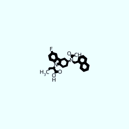 CCC(C(=O)O)n1c2c(c3cc(F)ccc31)C[C@@H](N(Cc1cccc3ccccc13)C(C)=O)CC2